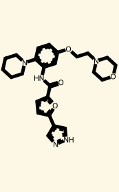 O=C(Nc1cc(OCCN2CCOCC2)ccc1N1CCCCC1)c1ccc(-c2cn[nH]c2)o1